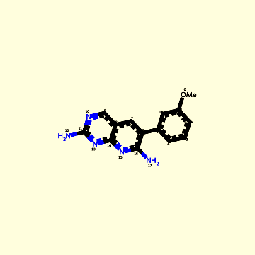 COc1cccc(-c2cc3cnc(N)nc3nc2N)c1